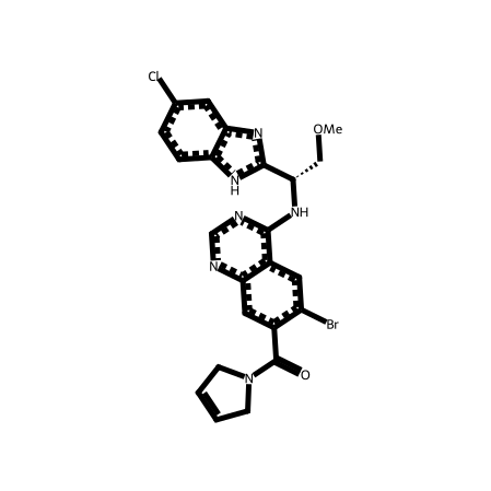 COC[C@H](Nc1ncnc2cc(C(=O)N3CC=CC3)c(Br)cc12)c1nc2cc(Cl)ccc2[nH]1